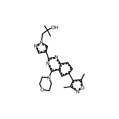 Cc1noc(C)c1-c1ccc2nc(-c3cnn(CC(C)(C)O)c3)nc(N3CCOCC3)c2c1